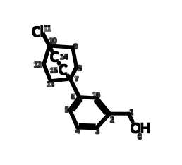 OCc1cccc(C23CCC(Cl)(CC2)CC3)c1